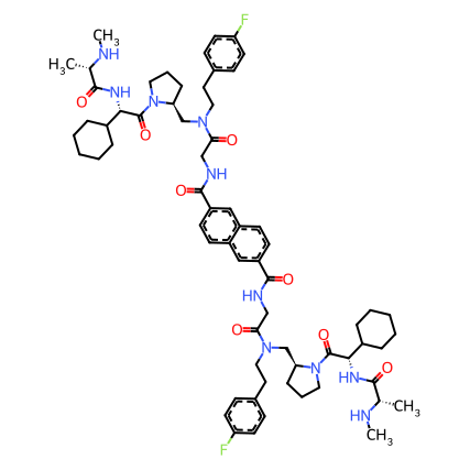 CN[C@@H](C)C(=O)N[C@H](C(=O)N1CCC[C@H]1CN(CCc1ccc(F)cc1)C(=O)CNC(=O)c1ccc2cc(C(=O)NCC(=O)N(CCc3ccc(F)cc3)C[C@@H]3CCCN3C(=O)[C@@H](NC(=O)[C@H](C)NC)C3CCCCC3)ccc2c1)C1CCCCC1